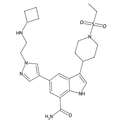 CCS(=O)(=O)N1CCC(c2c[nH]c3c(C(N)=O)cc(-c4cnn(CCNC5CCC5)c4)cc23)CC1